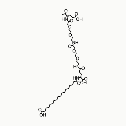 CC(=O)[C@H](CCC(=O)O)NC(=O)COCCOCCNC(=O)COCCOCCNC(=O)CC[C@H](NC(=O)CCCCCCCCCCCCCCCCC(=O)O)C(=O)O